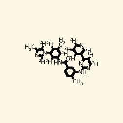 [2H]c1nc(Nc2cc(C(=O)Nc3c([2H])c(C)c([2H])c(-n4c([2H])nc(C)c4[2H])c3[2H])ccc2C)nc(-c2c([2H])nc([2H])c([2H])c2[2H])c1[2H]